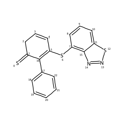 S=C1CC=[C]C(Sc2cccc3snnc23)=C1c1ccccc1